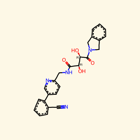 N#Cc1ccccc1-c1ccc(CNC(=O)[C@H](O)[C@@H](O)C(=O)N2Cc3ccccc3C2)nc1